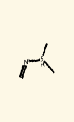 C=N[SH](C)C